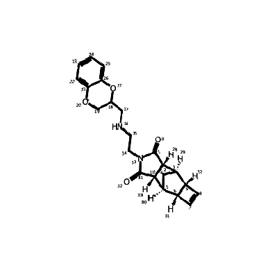 O=C1[C@@H]2[C@@H]3C[C@@H]([C@H]4C=C[C@H]43)[C@@H]2C(=O)N1CCNCC1COc2ccccc2O1